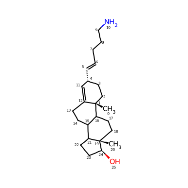 C[C@]12CC[C@@H](/C=C/CCCN)C=C1CCC1C2CC[C@@]2(C)C1CC[C@@H]2O